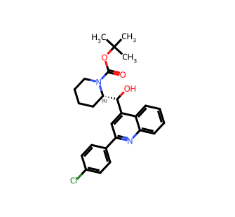 CC(C)(C)OC(=O)N1CCCC[C@H]1C(O)c1cc(-c2ccc(Cl)cc2)nc2ccccc12